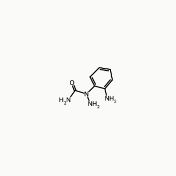 NC(=O)N(N)c1ccccc1N